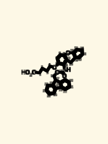 O=C(O)CCCCOc1ccc2c(c1NC(=O)OCC1c3ccccc3-c3ccccc31)Cc1ccccc1O2